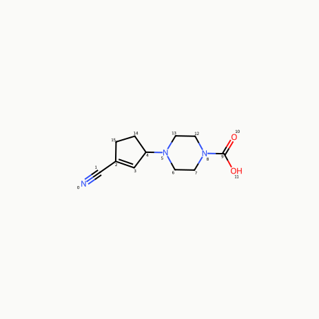 N#CC1=CC(N2CCN(C(=O)O)CC2)CC1